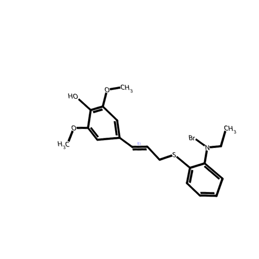 CCN(Br)c1ccccc1SC/C=C/c1cc(OC)c(O)c(OC)c1